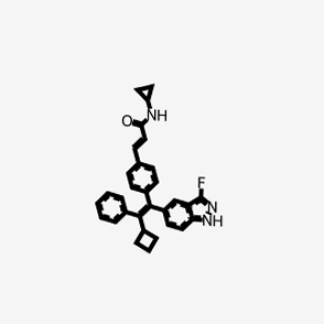 O=C(/C=C/c1ccc(/C(=C(\c2ccccc2)C2CCC2)c2ccc3[nH]nc(F)c3c2)cc1)NC1CC1